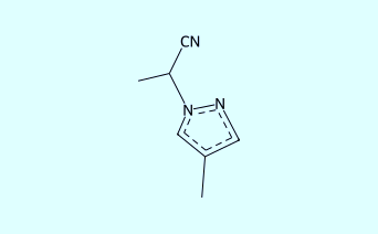 Cc1cnn(C(C)C#N)c1